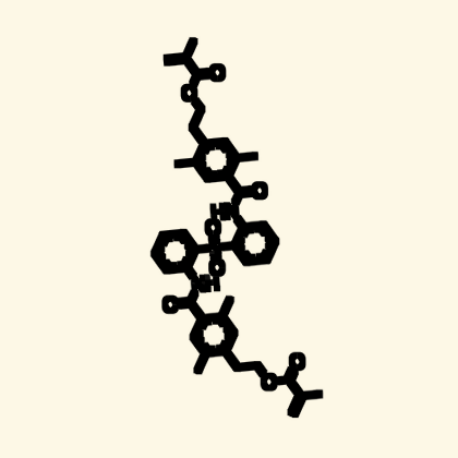 C=C(C)C(=O)OCCc1cc(C)c(C(=O)Nc2ccccc2S(=O)(=O)c2ccccc2NC(=O)c2cc(C)c(CCOC(=O)C(=C)C)cc2C)cc1C